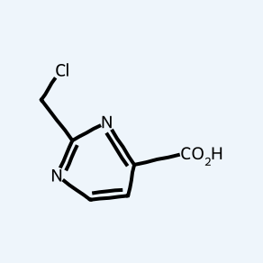 O=C(O)c1ccnc(CCl)n1